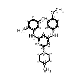 COc1ccc(Nc2nc(Nc3cc(C)ccc3C)nc(N3CCN(C)CC3)n2)cc1